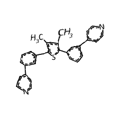 Cc1c(-c2cccc(-c3ccncc3)c2)sc(-c2cccc(-c3ccncc3)c2)c1C